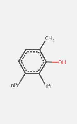 CCCc1ccc(C)c(O)c1CCC